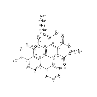 O=C([O-])c1nnc2c3nnnnc3c3c(C(=O)[O-])c(C(=O)[O-])c(C(=O)[O-])c(C(=O)[O-])c3c2c1C(=O)[O-].[Na+].[Na+].[Na+].[Na+].[Na+].[Na+]